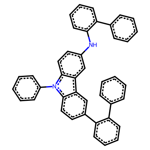 c1ccc(-c2ccccc2Nc2ccc3c(c2)c2cc(-c4ccccc4-c4ccccc4)ccc2n3-c2ccccc2)cc1